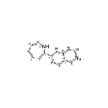 C1=CC=C(c2ccc3cnccc3c2)NC=C1